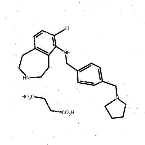 Clc1ccc2c(c1NCc1ccc(CN3CCCC3)cc1)CCNCC2.O=C(O)CCC(=O)O